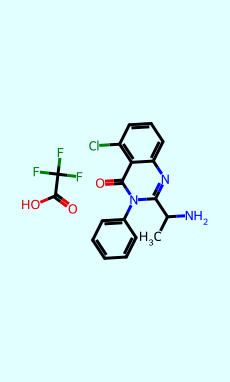 CC(N)c1nc2cccc(Cl)c2c(=O)n1-c1ccccc1.O=C(O)C(F)(F)F